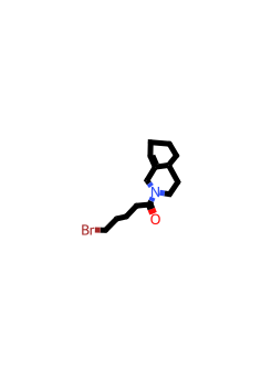 O=C(CCCCBr)N1CCC2CCCC=C2C1